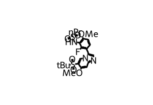 CCCS(=O)(=O)Nc1c(OC)ccc(-c2cnc3cc(OC)c(S(=O)(=O)C(C)(C)C)cn23)c1F